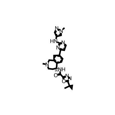 CN1CC[C@@H](NC(=O)c2nnc(C3(C)CC3)o2)c2ccc(-c3ccnc(Nc4cnn(C)c4)n3)cc2C1